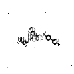 N=C(N)c1csc(CNC(=O)C2CC3(CN2C(=O)CNC(=O)c2ccc(-c4ccc(F)nc4)cc2)OCCO3)c1